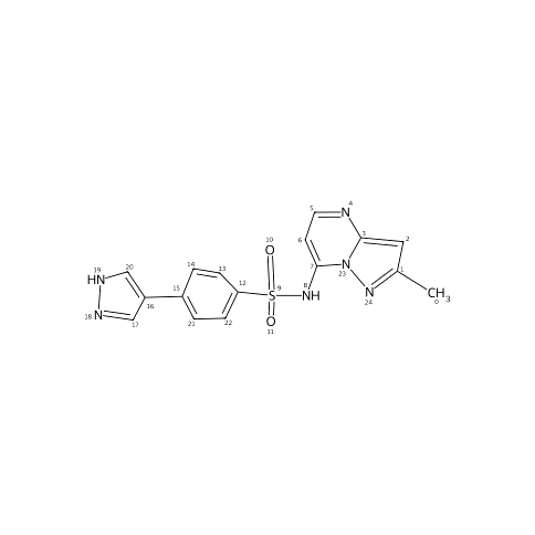 Cc1cc2nccc(NS(=O)(=O)c3ccc(-c4cn[nH]c4)cc3)n2n1